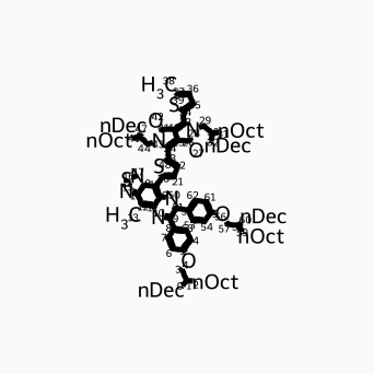 CCCCCCCCCCC(CCCCCCCC)COc1ccc(-c2nc3c(C)c4nsnc4c(-c4ccc(C5=C6C(=O)N(CC(CCCCCCCC)CCCCCCCCCC)C(c7ccc(C)s7)=C6C(=O)N5CC(CCCCCCCC)CCCCCCCCCC)s4)c3nc2-c2ccc(OCC(CCCCCCCC)CCCCCCCCCC)cc2)cc1